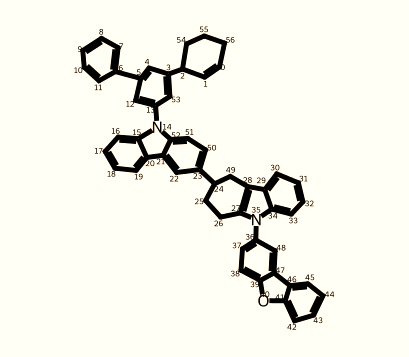 C1=CC(c2cc(-c3ccccc3)cc(-n3c4ccccc4c4cc(C5CCc6c(c7ccccc7n6-c6ccc7oc8ccccc8c7c6)C5)ccc43)c2)CCC1